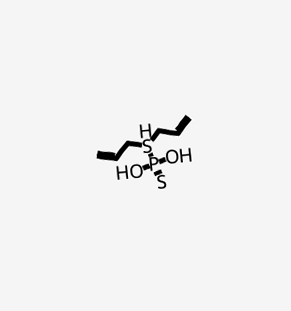 C=CC[SH](CC=C)P(O)(O)=S